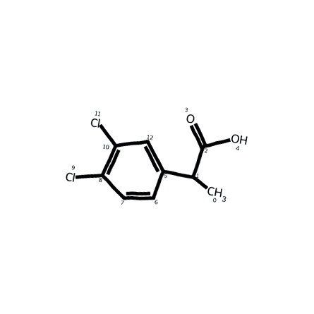 CC(C(=O)O)c1ccc(Cl)c(Cl)c1